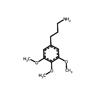 COc1cc(CCCN)cc(OC)c1OC